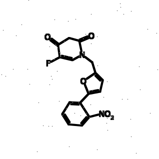 O=C1CC(=O)N(Cc2ccc(-c3ccccc3[N+](=O)[O-])o2)C=C1F